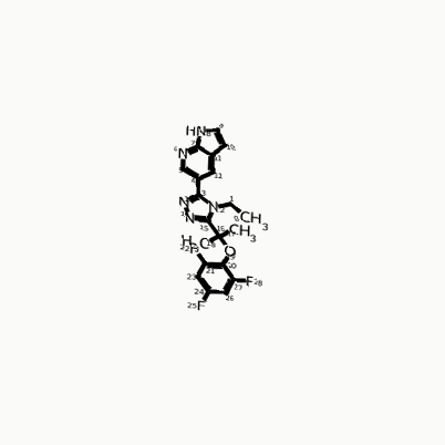 CCn1c(-c2cnc3[nH]ccc3c2)nnc1C(C)(C)Oc1c(F)cc(F)cc1F